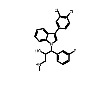 CNCC(O)C(c1cccc(F)c1)n1cc(-c2ccc(Cl)c(Cl)c2)c2ccccc21